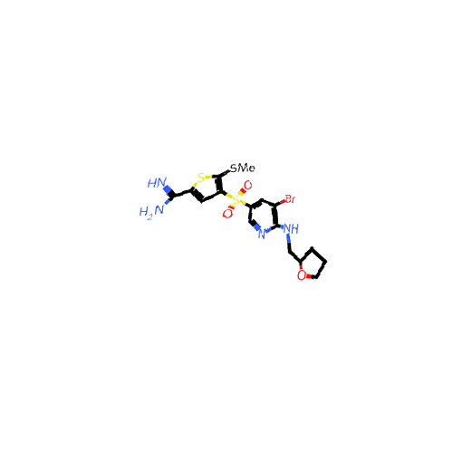 CSc1sc(C(=N)N)cc1S(=O)(=O)c1cnc(NCC2CCCO2)c(Br)c1